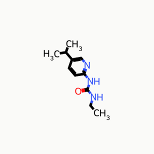 CCNC(=O)Nc1ccc(C(C)C)cn1